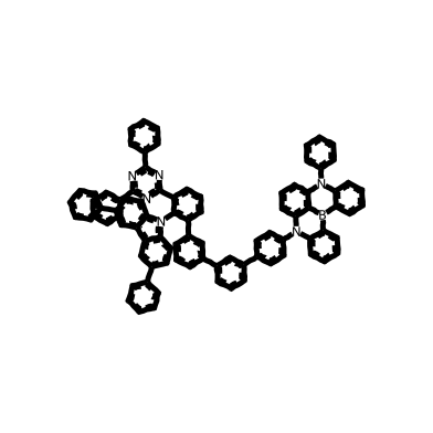 c1ccc(-c2ccc3c(c2)c2cc(-c4ccccc4)ccc2n3-c2c(-c3cccc(-c4cccc(-c5ccc(N6c7ccccc7B7c8ccccc8N(c8ccccc8)c8cccc6c87)cc5)c4)c3)cccc2-c2nc(-c3ccccc3)nc(-c3ccccc3)n2)cc1